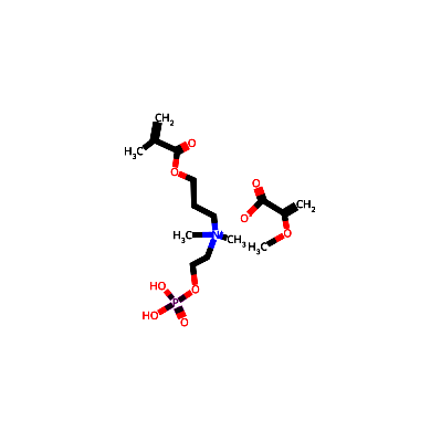 C=C(C)C(=O)OCCC[N+](C)(C)CCOP(=O)(O)O.C=C(OC)C(=O)[O-]